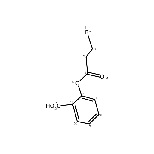 O=C(CCBr)Oc1ccccc1C(=O)O